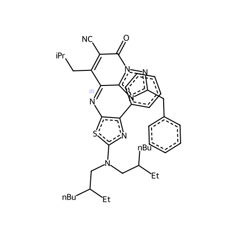 CCCCC(CC)CN(CC(CC)CCCC)c1nc(-c2ccccc2)c(/N=C2/C(CC(C)C)=C(C#N)C(=O)n3nc(Cc4ccccc4)nc32)s1